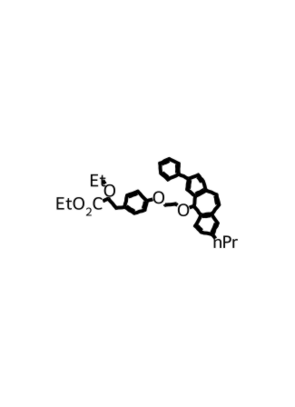 CCCc1ccc2c(c1)C=Cc1ccc(-c3ccccc3)cc1C2OCCOc1ccc(CC(OCC)C(=O)OCC)cc1